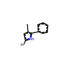 Cc1cc(C(C)C)[nH]c1-c1ccccc1